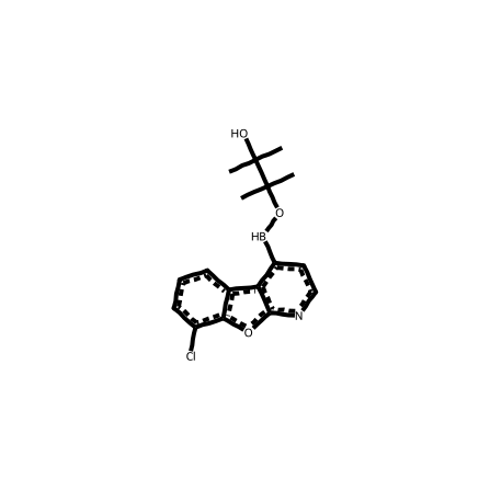 CC(C)(O)C(C)(C)OBc1ccnc2oc3c(Cl)cccc3c12